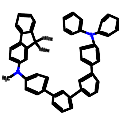 CCCCCCC1(CCCCCC)c2ccccc2-c2ccc(N(C)c3ccc(-c4cccc(-c5cccc(-c6ccc(N(c7ccccc7)c7ccccc7)cc6)c5)c4)cc3)cc21